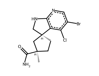 C[C@@]1(C(N)=O)CC[C@@]2(CNc3ncc(Br)c(Cl)c32)C1